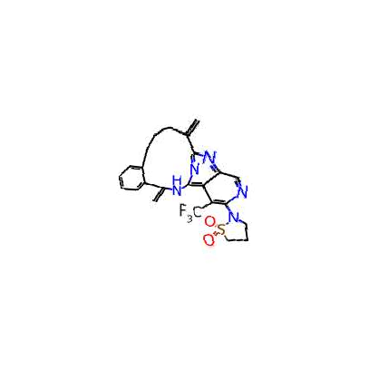 C=C1CCCc2ccccc2C(=C)Nc2nc1nc1cnc(N3CCCS3(=O)=O)c(C(F)(F)F)c21